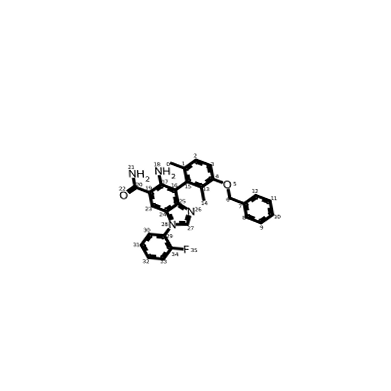 Cc1ccc(OCc2ccccc2)c(C)c1-c1c(N)c(C(N)=O)cc2c1ncn2-c1ccccc1F